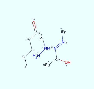 CC(C)NN.CCCCC(O)/N=N/C(C)C.CCCCC=O